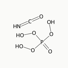 N=C=O.O=P(OO)(OO)OO